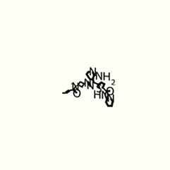 CC#CC(=O)N(C)[C@H]1C[C@@H](n2nc(-c3ccc(C(=O)Nc4ccccn4)s3)c3c(N)nccc32)C1